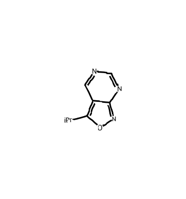 CC(C)c1onc2ncncc12